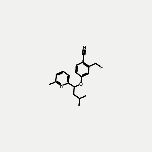 Cc1cccc(C(CC(C)C)Oc2ccc(C#N)c(CF)c2)n1